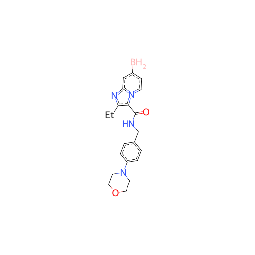 Bc1ccn2c(C(=O)NCc3ccc(N4CCOCC4)cc3)c(CC)nc2c1